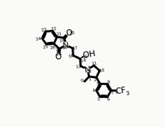 CC1C(c2cccc(C(F)(F)F)c2)CCN1C[C@H](O)CCN1C(=O)c2ccccc2C1=O